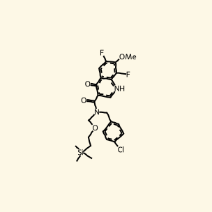 COc1c(F)cc2c(=O)c(C(=O)N(COCC[Si](C)(C)C)Cc3ccc(Cl)cc3)c[nH]c2c1F